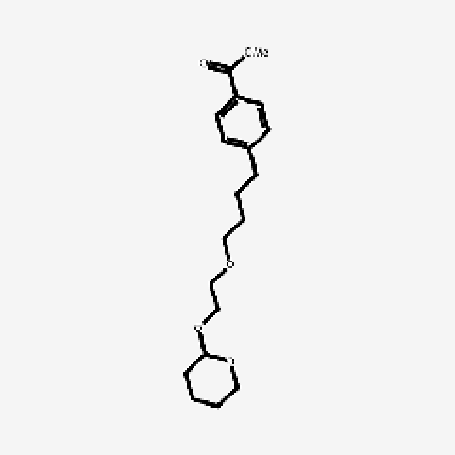 COC(=O)c1ccc(CCCCOCCOC2CCCCO2)cc1